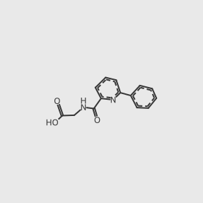 O=C(O)CNC(=O)c1cccc(-c2ccccc2)n1